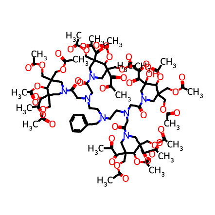 CC(=O)OCC1(COC(C)=O)CN(C(=O)CN(CCN(CCN(CC(=O)N2CC(COC(C)=O)(COC(C)=O)C(OC(C)=O)C(COC(C)=O)(C(=O)C(C)=O)C2)CC(=O)N2CC(COC(C)=O)(C(=O)C(C)=O)C(OC(C)=O)C(COC(C)=O)(C(=O)C(C)=O)C2)Cc2ccccc2)CC(=O)N2CC(COC(C)=O)(C(=O)C(C)=O)C(OC(C)=O)C(COC(C)=O)(C(=O)C(C)=O)C2)CC(O)(C(=O)C(C)=O)C1OC(C)=O